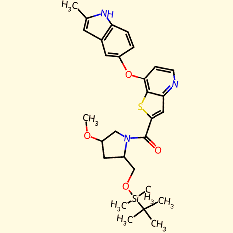 COC1CC(CO[Si](C)(C)C(C)(C)C)N(C(=O)c2cc3nccc(Oc4ccc5[nH]c(C)cc5c4)c3s2)C1